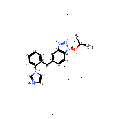 CC(C)On1nnc2cc(Cc3ccccc3-n3ccnc3)ccc21